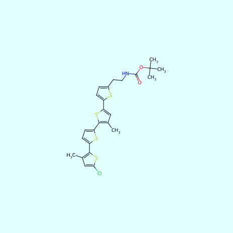 Cc1cc(Cl)sc1-c1ccc(-c2sc(-c3ccc(CCNC(=O)OC(C)(C)C)s3)cc2C)s1